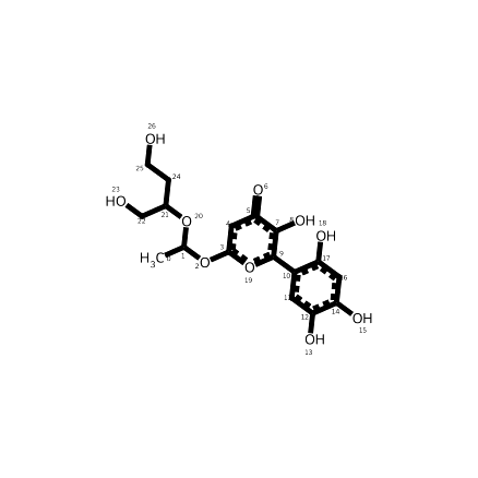 CC(Oc1cc(=O)c(O)c(-c2cc(O)c(O)cc2O)o1)OC(CO)CCO